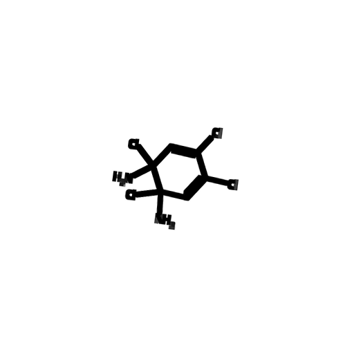 NC1(Cl)C=C(Cl)C(Cl)=CC1(N)Cl